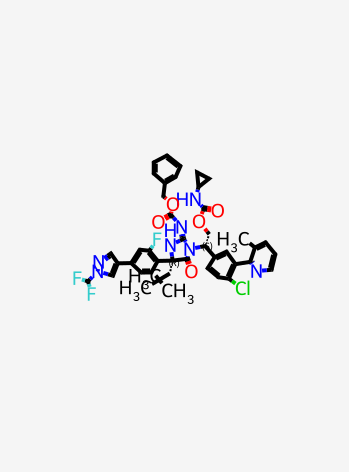 Cc1cccnc1-c1cc([C@@H](COC(=O)NC2CC2)N2C(=O)[C@@](CC(C)(C)C)(c3ccc(-c4cnn(C(F)F)c4)cc3F)NC2=NC(=O)OCc2ccccc2)ccc1Cl